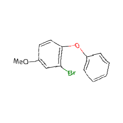 COc1ccc(Oc2ccccc2)c(Br)c1